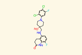 O=C1CCc2c(NCC3(O)CCN(c4cc(F)c(Cl)cc4Cl)CC3)ccc(F)c2N1